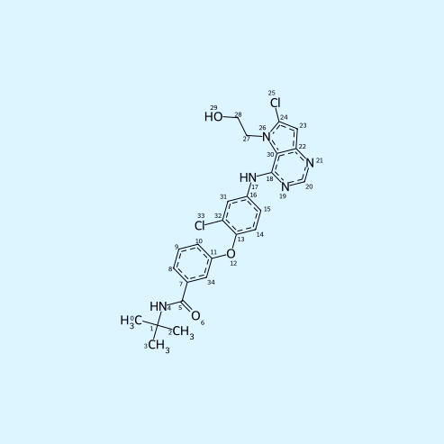 CC(C)(C)NC(=O)c1cccc(Oc2ccc(Nc3ncnc4cc(Cl)n(CCO)c34)cc2Cl)c1